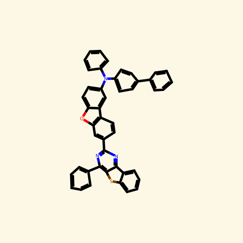 c1ccc(-c2ccc(N(c3ccccc3)c3ccc4oc5cc(-c6nc(-c7ccccc7)c7sc8ccccc8c7n6)ccc5c4c3)cc2)cc1